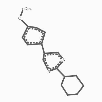 CCCCCCCCCCOc1ccc(-c2cnc(C3CCCCC3)nc2)cc1